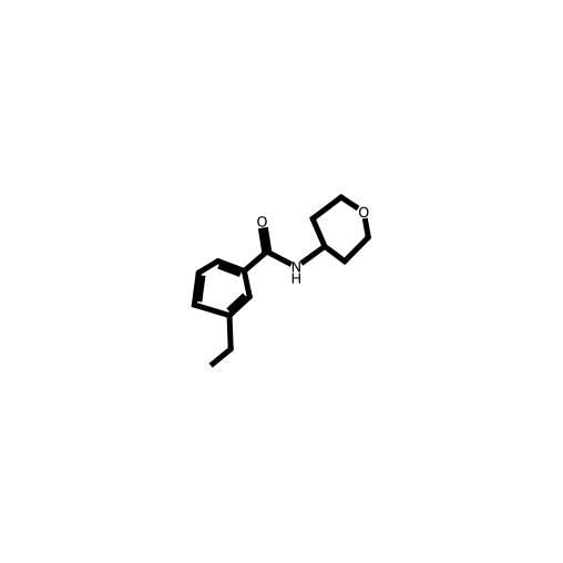 CCc1cccc(C(=O)NC2CCOCC2)c1